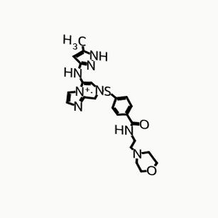 Cc1cc(NC2=CN(Sc3ccc(C(=O)NCCN4CCOCC4)cc3)CC3=NC=C[N+]23)n[nH]1